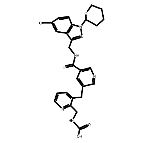 O=C(O)NCc1ncccc1Cc1cncc(C(=O)NCc2nn(C3CCCCO3)c3ccc(Cl)cc23)c1